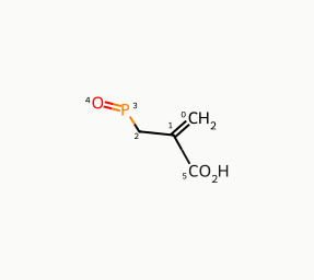 C=C(CP=O)C(=O)O